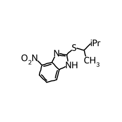 CC(C)C(C)Sc1nc2c([N+](=O)[O-])cccc2[nH]1